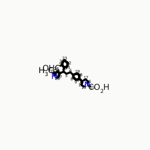 Cc1cc(C(CCc2ccc(C3=CCN(C(=O)O)CC3)cc2)c2ccccc2C=O)ccn1